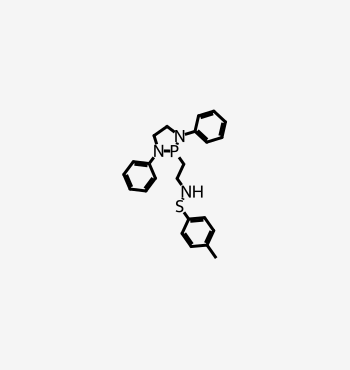 Cc1ccc(SNCCP2N(c3ccccc3)CCN2c2ccccc2)cc1